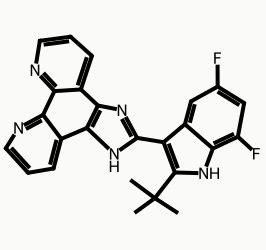 CC(C)(C)c1[nH]c2c(F)cc(F)cc2c1-c1nc2c3cccnc3c3ncccc3c2[nH]1